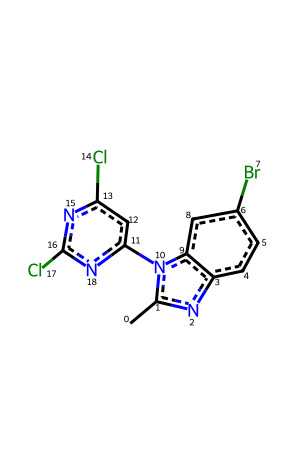 Cc1nc2ccc(Br)cc2n1-c1cc(Cl)nc(Cl)n1